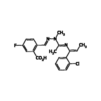 C/C=C(\N=C(/C)N(C)/N=C/c1ccc(F)cc1C(=O)O)c1ccccc1Cl